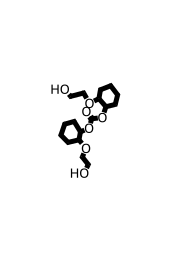 O=C(OC1CCCCC1OCCO)OC1CCCCC1OCCO